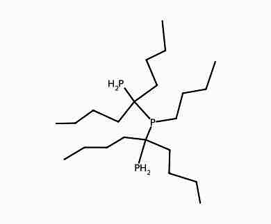 CCCCP(C(P)(CCCC)CCCC)C(P)(CCCC)CCCC